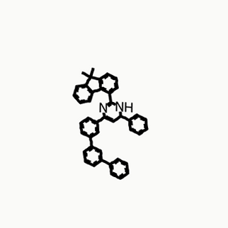 CC1(C)c2ccccc2-c2c(C3=NC(c4cccc(-c5cccc(-c6ccccc6)c5)c4)=CC(c4ccccc4)N3)cccc21